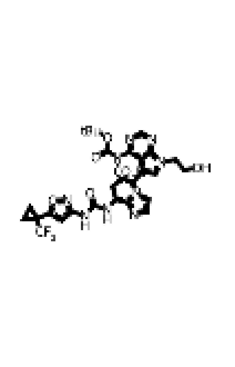 CC(C)(C)OC(=O)N(C(=O)O)c1ncnc2c1c(-c1ccc(NC(=O)Nc3cc(C4(C(F)(F)F)CC4)on3)c3nccn13)cn2CCO